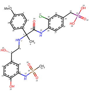 COc1ccc(C(C)(NC[C@@H](O)c2ccc(O)c(NS(C)(=O)=O)c2)C(=O)Nc2ccc(CP(=O)(O)O)cc2Cl)cc1